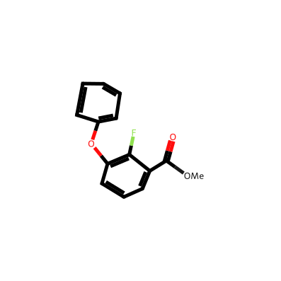 COC(=O)c1cccc(Oc2ccccc2)c1F